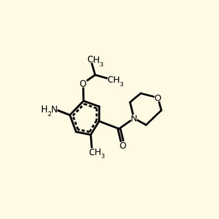 Cc1cc(N)c(OC(C)C)cc1C(=O)N1CCOCC1